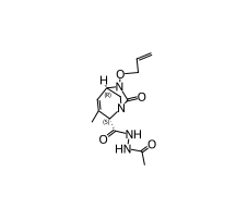 C=CCON1C(=O)N2C[C@H]1C=C(C)[C@H]2C(=O)NNC(C)=O